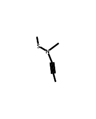 CC#CN(C)SC